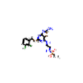 CS(=O)(=O)NCCNc1nc(SCc2cccc(F)c2F)nc2nc(N)sc12